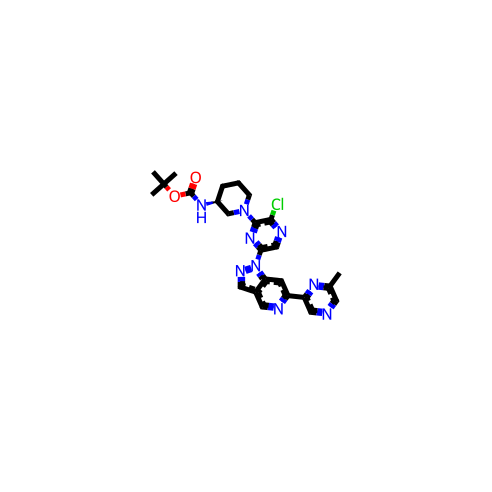 Cc1cncc(-c2cc3c(cn2)cnn3-c2cnc(Cl)c(N3CCC[C@H](NC(=O)OC(C)(C)C)C3)n2)n1